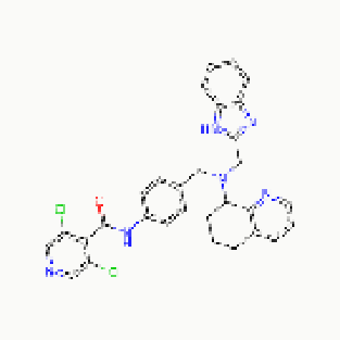 O=C(Nc1ccc(CN(Cc2nc3ccccc3[nH]2)C2CCCc3cccnc32)cc1)c1c(Cl)cncc1Cl